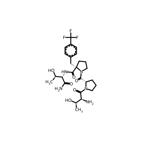 C[C@@H](O)[C@H](N)C(=O)N1CCC[C@H]1C(=O)N1CCC[C@]1(Cc1ccc(C(F)(F)F)cc1)C(=O)N[C@H](C(N)=O)[C@@H](C)O